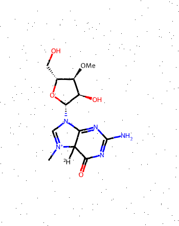 [2H]C12C(=O)N=C(N)N=C1N([C@@H]1O[C@H](CO)[C@@H](OC)[C@H]1O)C=[N+]2C